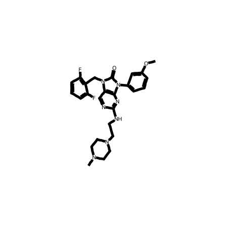 COc1cccc(-n2c(=O)n(Cc3c(F)cccc3F)c3cnc(NCCN4CCN(C)CC4)nc32)c1